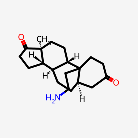 C[C@]12CC[C@H]3[C@@H](CC[C@@H]4CC(=O)CCC43CCN)[C@@H]1CCC2=O